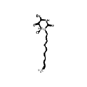 C=CCCCCCCCCOC(=O)NC(C(=O)NCl)C(C)CC